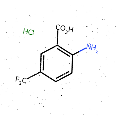 Cl.Nc1ccc(C(F)(F)F)cc1C(=O)O